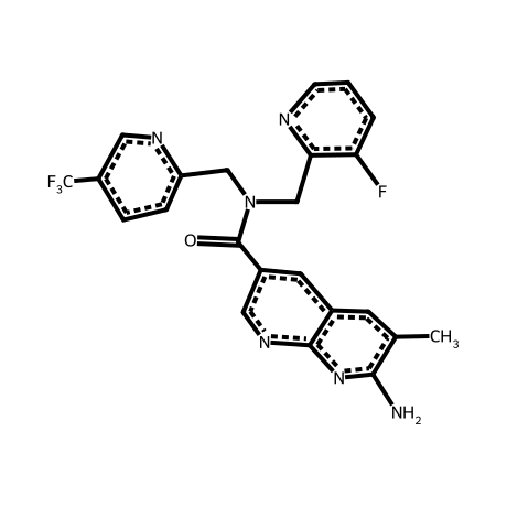 Cc1cc2cc(C(=O)N(Cc3ccc(C(F)(F)F)cn3)Cc3ncccc3F)cnc2nc1N